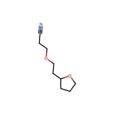 N#CCCOCCC1CCCO1